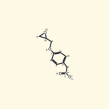 O=[N+]([O-])[C]c1ccc(OCC2CO2)cc1